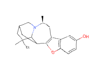 CCC1(C)CC2CC3c4oc5ccc(O)cc5c4C[C@H](C)N(C2)C31